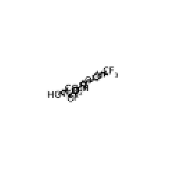 CC(C)(CN1CCC(COc2ccc(-c3ccc(C(=O)N4CC(O)CC4C(=O)O)c(F)c3)nc2)CC1)C(F)(F)F